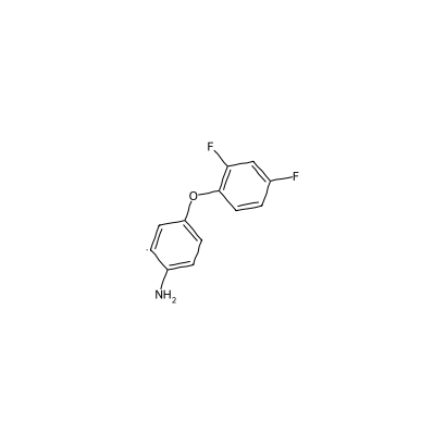 Nc1[c]cc(Oc2ccc(F)cc2F)cc1